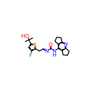 CC(C)(O)c1cc(F)c(C/C=N/C(=O)Nc2c3c(nc4c2CCC4)CCC3)s1